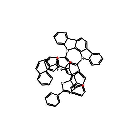 c1ccc(-c2cc(-c3ccccc3)cc(-n3c4ccccc4c4ccc5c6ccccc6n(C6=NC(c7cccc8nc(-c9ccccc9)oc78)NC(c7cccc8ccccc78)=N6)c5c43)c2)cc1